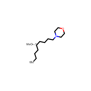 CO[C@H](CCCCN1CCOCC1)CCCC(C)(C)C